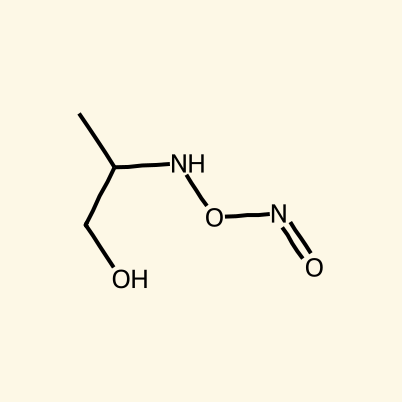 CC(CO)NON=O